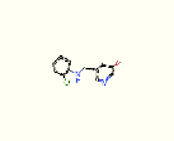 Clc1ccccc1NCc1cncc(Br)c1